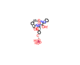 CC(C)(C)OC(=O)N[C@@H](Cc1ccccc1)[C@@H](O)C[C@@H](Cc1ccc(OCCOP(=O)(O)O)cc1)C(=O)N[C@H]1c2ccccc2C[C@H]1O